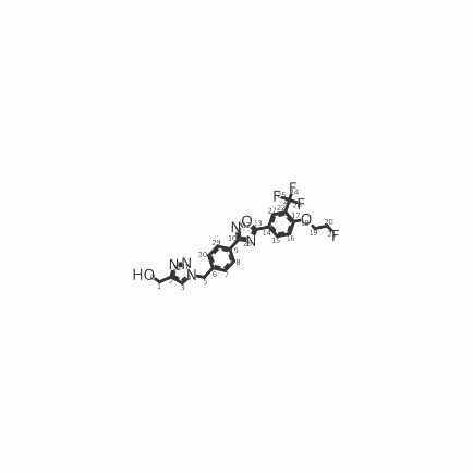 OCc1cn(Cc2ccc(-c3noc(-c4ccc(OCCF)c(C(F)(F)F)c4)n3)cc2)nn1